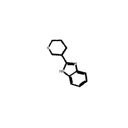 c1ccc2[nH]c(C3CCC[N]C3)nc2c1